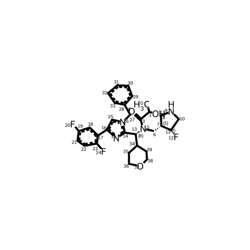 CC(O)C(=O)N(C[C@@H]1CNC[C@@H]1F)[C@@H](c1nc(-c2cc(F)ccc2F)cn1Cc1ccccc1)C1CCOCC1